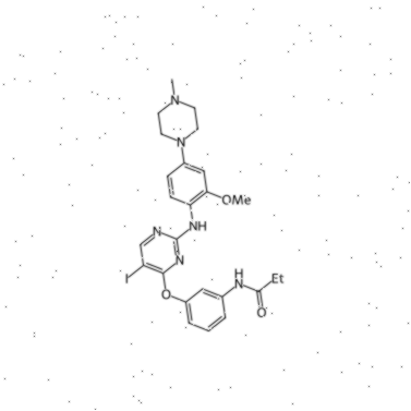 CCC(=O)Nc1cccc(Oc2nc(Nc3ccc(N4CCN(C)CC4)cc3OC)ncc2I)c1